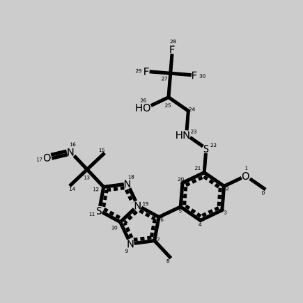 COc1ccc(-c2c(C)nc3sc(C(C)(C)N=O)nn23)cc1SNCC(O)C(F)(F)F